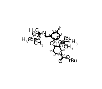 C=C(N=Cc1cc(I)ccc1OC1CCN(C(=O)OC(C)(C)C)CC1O[Si](C)(C)C(C)(C)C)O[Si](C)(C)C